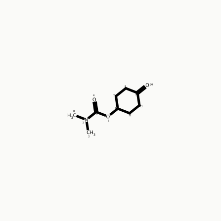 CN(C)C(=O)OC1CCC(=O)CC1